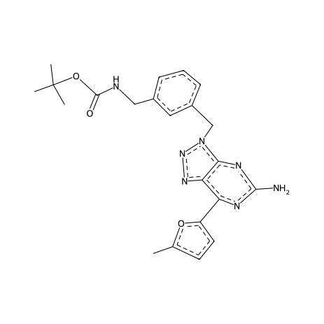 Cc1ccc(-c2nc(N)nc3c2nnn3Cc2cccc(CNC(=O)OC(C)(C)C)c2)o1